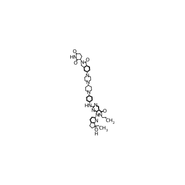 C=CCn1c(=O)c2cnc(Nc3ccc(N4CCC(N5CCN(c6ccc7c(c6)CN(C6CCC(=O)NC6=O)C7=O)CC5)CC4)cc3)nc2n1-c1ccc2c(n1)[C@@](O)(CC)CC2